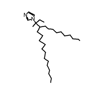 CCCCCCCCCCCCCC(CCCCCCCCCC)C(C)(CC)n1ccnc1